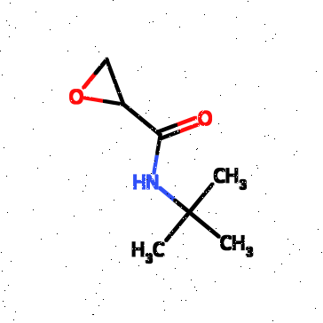 CC(C)(C)NC(=O)C1CO1